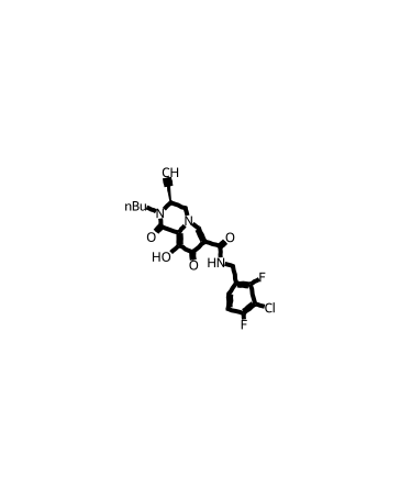 C#C[C@H]1Cn2cc(C(=O)NCc3ccc(F)c(Cl)c3F)c(=O)c(O)c2C(=O)N1CCCC